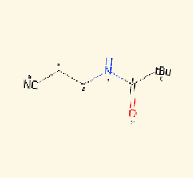 CC(C)(C)C(=O)NCCC#N